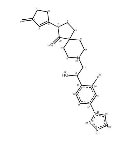 C=C1C=C(N2CCC3(CCN(CC(O)c4ccc(-n5cnnn5)cc4F)CC3)C2=O)CC1